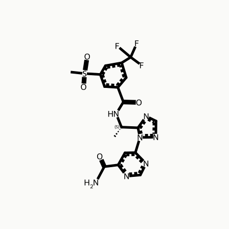 C[C@H](NC(=O)c1cc(C(F)(F)F)cc(S(C)(=O)=O)c1)c1ncnn1-c1cc(C(N)=O)ncn1